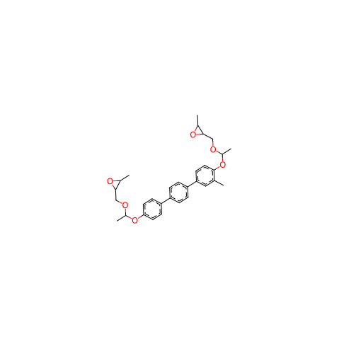 Cc1cc(-c2ccc(-c3ccc(OC(C)OCC4OC4C)cc3)cc2)ccc1OC(C)OCC1OC1C